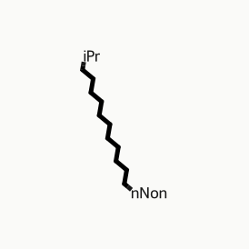 [CH2]CCCCCCCCCCCCCCCCCCCC(C)C